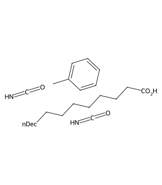 CCCCCCCCCCCCCCCCCC(=O)O.Cc1ccccc1.N=C=O.N=C=O